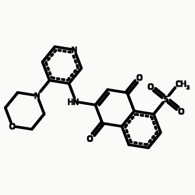 CS(=O)(=O)c1cccc2c1C(=O)C=C(Nc1cnccc1N1CCOCC1)C2=O